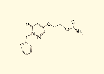 NC(=O)OCCOc1cnn(Cc2ccccc2)c(=O)c1